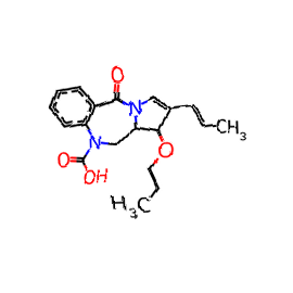 CC=CC1=CN2C(=O)c3ccccc3N(C(=O)O)CC2C1OCCC